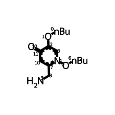 CCCCOc1cn(OCCCC)c(CN)cc1=O